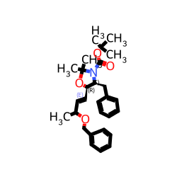 CC(/C=C/[C@H]1OC(C)(C)N(C(=O)OC(C)(C)C)[C@H]1Cc1ccccc1)OCc1ccccc1